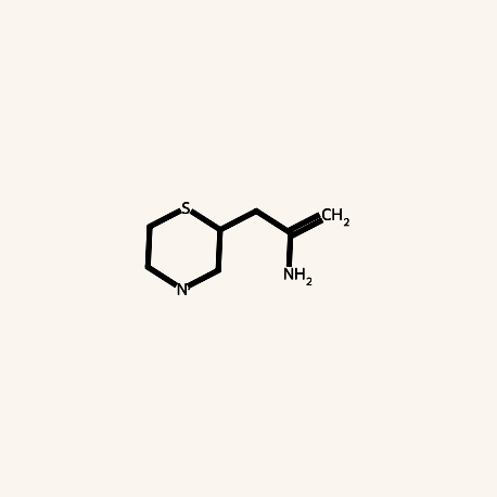 C=C(N)CC1C[N]CCS1